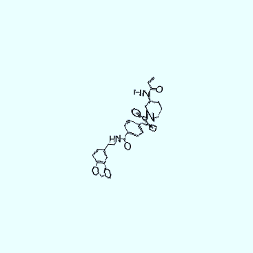 C=CC(=O)N[C@H]1CCCN(S(=O)(=O)c2ccc(C(=O)NCCc3ccc4c(c3)OCO4)cc2)C1